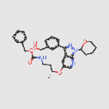 C[C@H](CCNC(=O)OCc1ccccc1)Oc1cnc2c(c1)c(-c1cccc(CO)c1)nn2C1CCCCO1